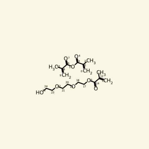 C=C(C)C(=O)OC(=O)C(=C)C.C=C(C)C(=O)OCCOCCOCCO